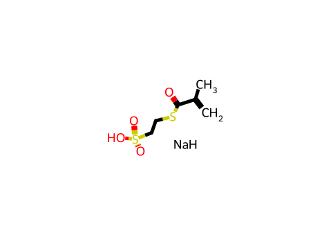 C=C(C)C(=O)SCCS(=O)(=O)O.[NaH]